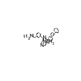 NCc1cccc(C2=C3C=NC=C[N+]3(N)C(c3cccc(OCc4ccccc4)c3)=N2)c1